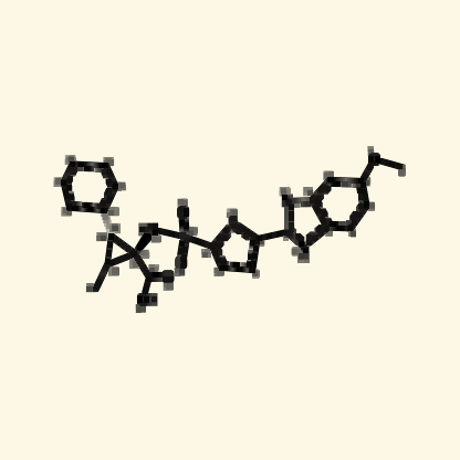 COc1ccc2[nH]c(-c3ccc(S(=O)(=O)N[C@@]4(C(=O)O)C(C)[C@@H]4c4ccccc4)s3)nc2c1